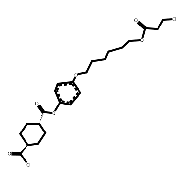 O=C(CCCl)OCCCCCCOc1ccc(OC(=O)[C@H]2CC[C@H](C(=O)Cl)CC2)cc1